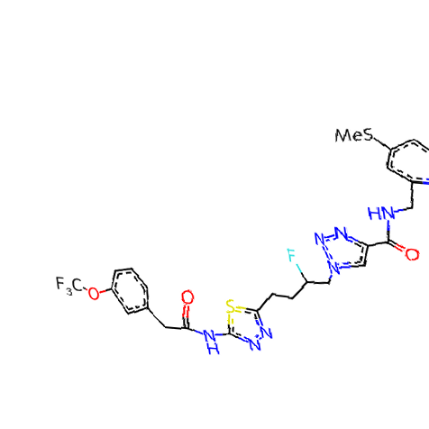 CSc1ccnc(CNC(=O)c2cn(CC(F)CCc3nnc(NC(=O)Cc4cccc(OC(F)(F)F)c4)s3)nn2)c1